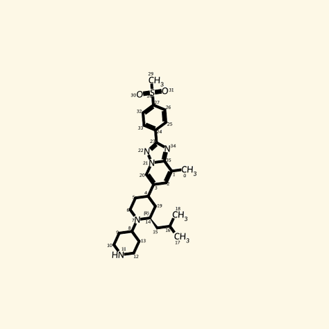 Cc1cc(C2CCN(C3CCNCC3)[C@H](CC(C)C)C2)cn2nc(-c3ccc(S(C)(=O)=O)cc3)nc12